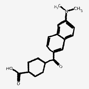 CN(C)c1ccc2cc(C(=O)C3CCC(C(=O)O)CC3)ccc2c1